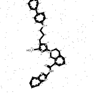 O=C(Nc1nc2ccccc2s1)c1cccc2c1CN(c1nc(C(=O)O)c(CCCOc3ccc(-c4ccccc4)cc3)s1)CC2